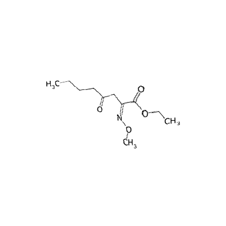 CCCCC(=O)CC(=NOC)C(=O)OCC